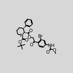 COC(=O)Nc1ccc(C(=O)COC(=O)[C@@H]2[C@H](c3ccccc3)CCCN2C(=O)OC(C)(C)C)c(Br)c1